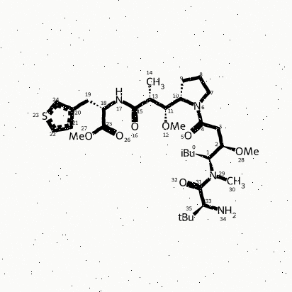 CC[C@H](C)[C@@H]([C@@H](CC(=O)N1CCC[C@H]1[C@H](OC)[C@@H](C)C(=O)N[C@@H](Cc1ccsc1)C(=O)OC)OC)N(C)C(=O)[C@@H](N)C(C)(C)C